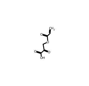 C=CC(=O)OCC(=O)C(=O)O